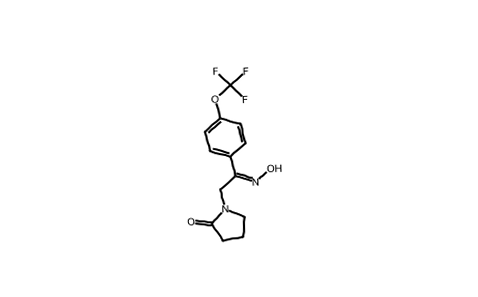 O=C1CCCN1C/C(=N/O)c1ccc(OC(F)(F)F)cc1